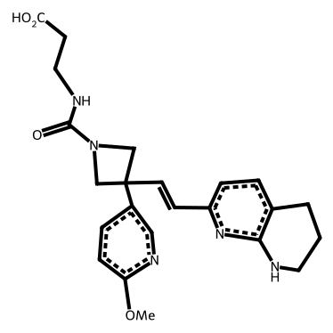 COc1ccc(C2(C=Cc3ccc4c(n3)NCCC4)CN(C(=O)NCCC(=O)O)C2)cn1